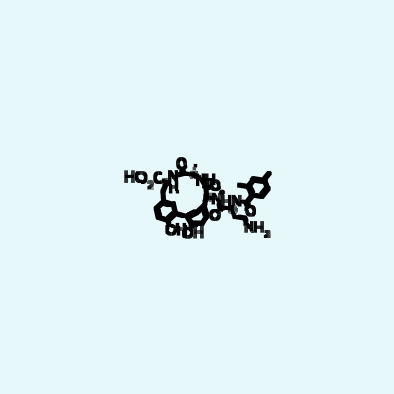 Cc1ccc(C(=O)N[C@@H](CCN)C(=O)N(C)[C@@H]2C(=O)N[C@@H](C)C(=O)N[C@H](C(=O)O)Cc3ccc(O)c(c3)-c3cc2ccc3O)c(C)c1